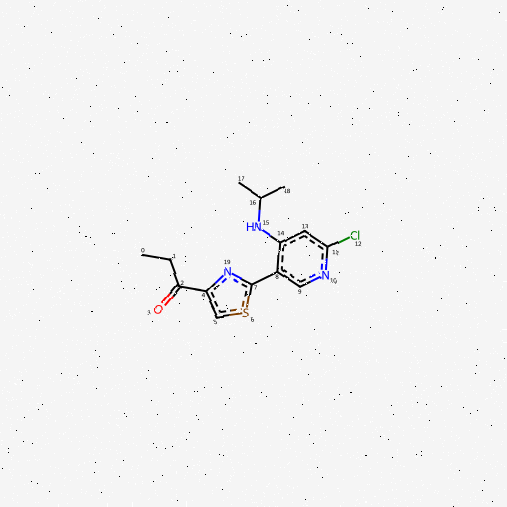 CCC(=O)c1csc(-c2cnc(Cl)cc2NC(C)C)n1